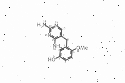 COc1ccc(O)cc1Cc1cnc(N)nc1N